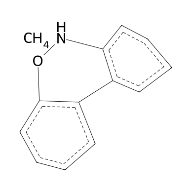 C.c1ccc2c(c1)NOc1ccccc1-2